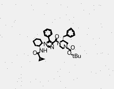 CC(C)(C)OC(=O)N1CCN(C(=O)c2ncn([C@H]3CCCC[C@H]3NC(=O)C3CC3)c2-c2ccccc2)[C@H](Cc2ccccc2)C1